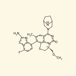 COC[C@H]1CSc2c(-c3ccc(F)c4sc(N)nc34)c(C)cc3c(N4CC5CCC(C4)N5)nc(=O)n1c23